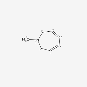 CN1CC=CC=CC1